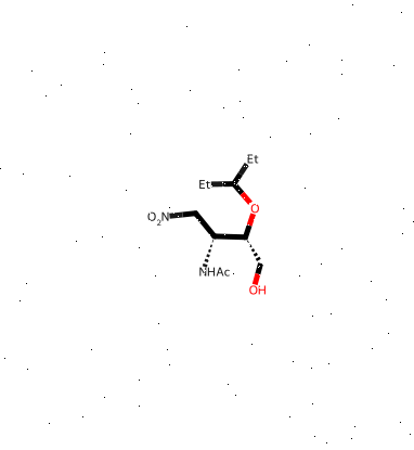 CCC(CC)O[C@H](CO)[C@@H](C[N+](=O)[O-])NC(C)=O